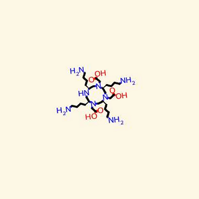 NCCCC[C@H]1CN(CC(=O)O)[C@@H](CCCCN)CN(CC(=O)O)[C@@H](CCCCN)CN(CC(=O)O)[C@@H](CCCCN)CN1